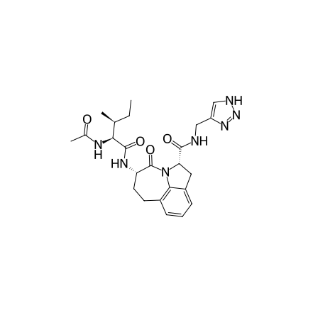 CC[C@H](C)[C@H](NC(C)=O)C(=O)N[C@H]1CCc2cccc3c2N(C1=O)[C@H](C(=O)NCc1c[nH]nn1)C3